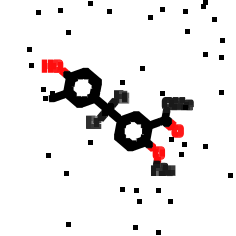 CCCCOc1ccc(C(CC)(CC)c2ccc(O)c(C)c2)cc1C(=O)OC